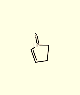 S=[PH]1C=CCC1